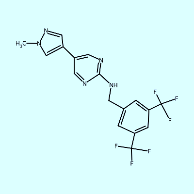 Cn1cc(-c2cnc(NCc3cc(C(F)(F)F)cc(C(F)(F)F)c3)nc2)cn1